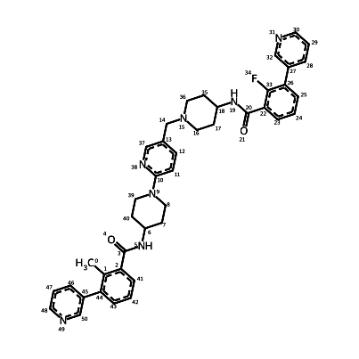 Cc1c(C(=O)NC2CCN(c3ccc(CN4CCC(NC(=O)c5cccc(-c6cccnc6)c5F)CC4)cn3)CC2)cccc1-c1cccnc1